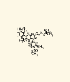 C=CC(=O)N1C[C@H](C)N(c2nc(OCCCN(C)C)nc3c(F)c(-c4c(C)ccc5[nH]ncc45)c(C)cc23)C[C@H]1C